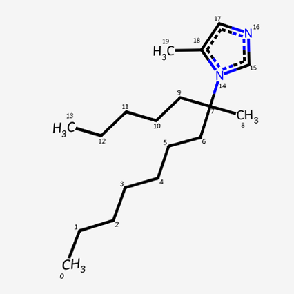 CCCCCCCC(C)(CCCCC)n1cncc1C